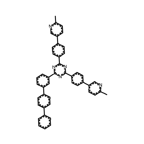 Cc1ccc(-c2ccc(-c3nc(-c4ccc(-c5ccc(C)nc5)cc4)nc(-c4cccc(-c5ccc(-c6ccccc6)cc5)c4)n3)cc2)cn1